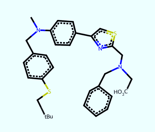 CN(Cc1ccc(SCC(C)(C)C)cc1)c1ccc(-c2csc(CN(CC(=O)O)Cc3ccccc3)n2)cc1